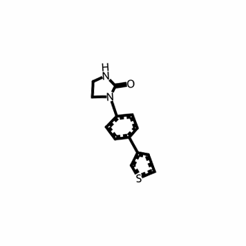 O=C1NCCN1c1ccc(-c2ccsc2)cc1